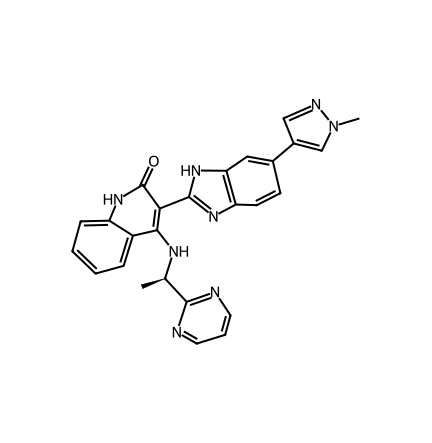 C[C@@H](Nc1c(-c2nc3ccc(-c4cnn(C)c4)cc3[nH]2)c(=O)[nH]c2ccccc12)c1ncccn1